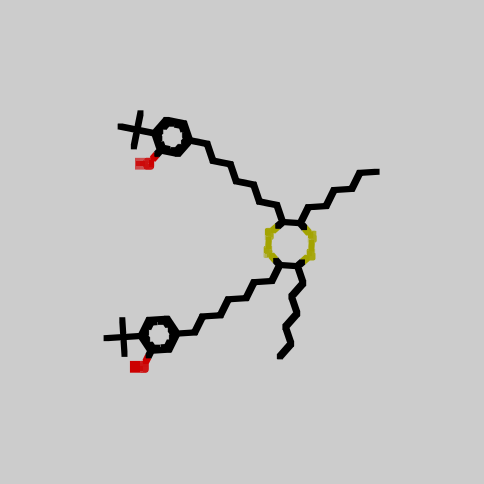 CCCCCCC1SSC(CCCCCC)C(CCCCCCCc2ccc(C(C)(C)C)c(O)c2)SSC1CCCCCCCc1ccc(C(C)(C)C)c(O)c1